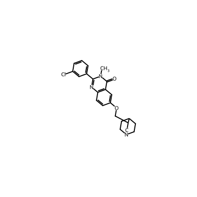 Cn1c(-c2cccc(Cl)c2)nc2ccc(OCC3CN4CCC3CC4)cc2c1=O